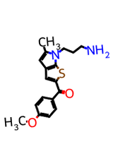 COc1ccc(C(=O)c2cc3cc(C)n(CCCN)c3s2)cc1